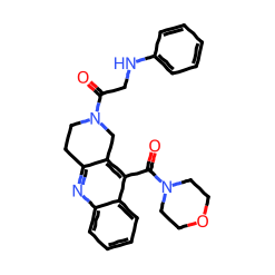 O=C(CNc1ccccc1)N1CCc2nc3ccccc3c(C(=O)N3CCOCC3)c2C1